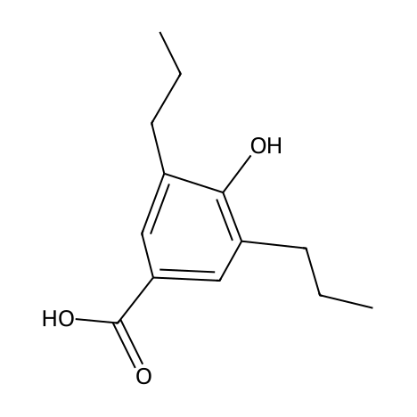 CCCc1cc(C(=O)O)cc(CCC)c1O